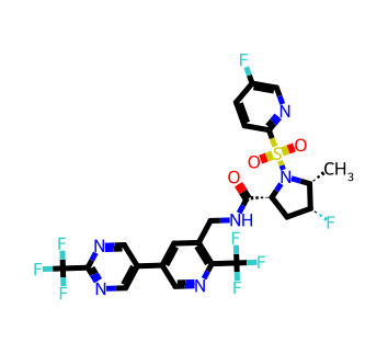 C[C@@H]1[C@H](F)C[C@H](C(=O)NCc2cc(-c3cnc(C(F)(F)F)nc3)cnc2C(F)(F)F)N1S(=O)(=O)c1ccc(F)cn1